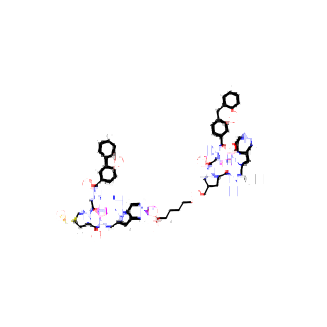 C[C@@H](NC(=O)C1CC(COCCCCCC(=O)O[n+]2ccc3[nH]c(CNC(=O)C4C[C@@H]([S+]=O)CN4C(=O)CNC(=O)c4ccc5oc6ccccc6c5c4)cc3c2)CN1C(=O)CNC(=O)c1ccc2c(c1)Oc1ccccc1C2)c1cc2cnccc2[nH]1